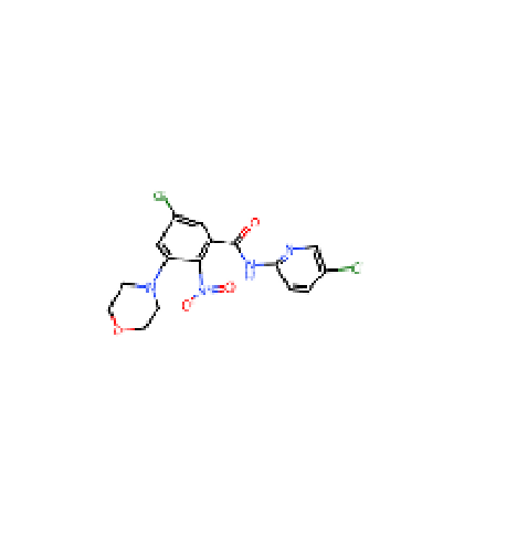 O=C(Nc1ccc(Cl)cn1)c1cc(Cl)cc(N2CCOCC2)c1[N+](=O)[O-]